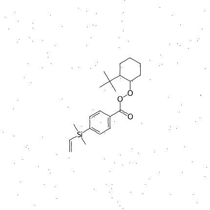 C=C[Si](C)(C)c1ccc(C(=O)OO[C]2CCCCC2C(C)(C)C)cc1